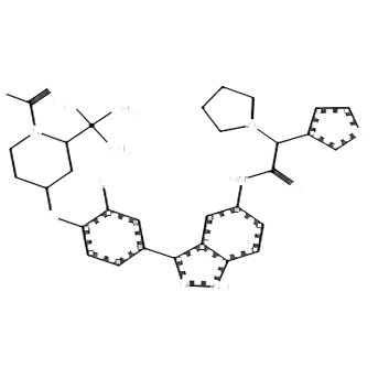 CC(C)(C)C1CC(Oc2ccc(-c3n[nH]c4ccc(NC(=O)C(c5ccsc5)N5CCCC5)cc34)cc2Cl)CCN1C(=O)O